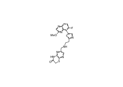 COc1cnc2ccc(F)c(-c3cnc(CCNCc4cnc5c(n4)NC(=O)CS5)s3)c2n1